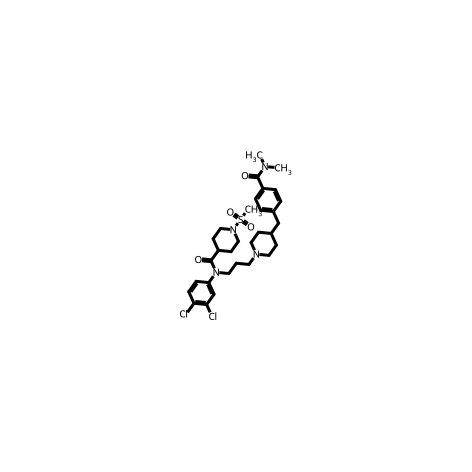 CN(C)C(=O)c1ccc(CC2CCN(CCCN(C(=O)C3CCN(S(C)(=O)=O)CC3)c3ccc(Cl)c(Cl)c3)CC2)cc1